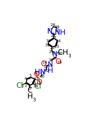 Cc1c(Cl)ccc(S(=O)(=O)CNCC(=O)NCC(=O)N(C)Cc2ccc(C3=NCCN3)cc2)c1Cl